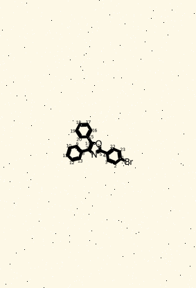 Brc1ccc(-c2nc(-c3ccccc3)c(-c3ccccc3)o2)cc1